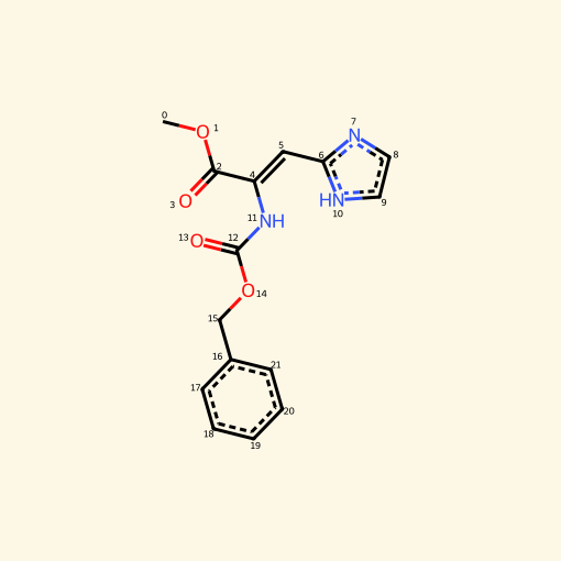 COC(=O)/C(=C/c1ncc[nH]1)NC(=O)OCc1ccccc1